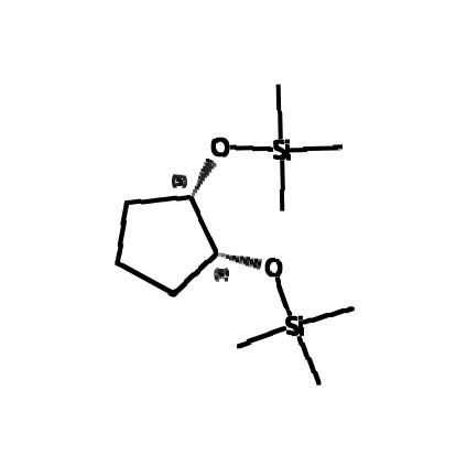 C[Si](C)(C)O[C@H]1CCC[C@H]1O[Si](C)(C)C